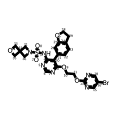 O=S(=O)(Nc1ncnc(OCCOc2ncc(Br)cn2)c1-c1ccc2c(c1)OCC2)N1CC2(COC2)C1